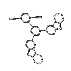 N#Cc1ccc(C#N)c(-c2cc(-c3ccc4oc5ccccc5c4c3)cc(-c3ccc4oc5ccccc5c4c3)c2)c1